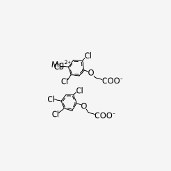 O=C([O-])COc1cc(Cl)c(Cl)cc1Cl.O=C([O-])COc1cc(Cl)c(Cl)cc1Cl.[Mg+2]